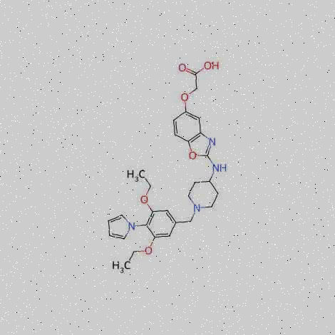 CCOc1cc(CN2CCC(Nc3nc4cc(OCC(=O)O)ccc4o3)CC2)cc(OCC)c1-n1cccc1